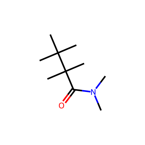 CN(C)C(=O)C(C)(C)C(C)(C)C